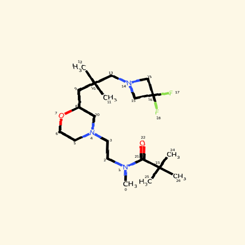 CN(CCN1CCOC(CC(C)(C)CN2CC(F)(F)C2)C1)C(=O)C(C)(C)C